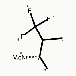 CN[C@@H](C)C(C)C(F)(F)F